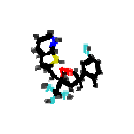 Cc1ccc(F)cc1C(C)(C)CC(O)(Cc1cc2cccnc2s1)C(F)(F)F